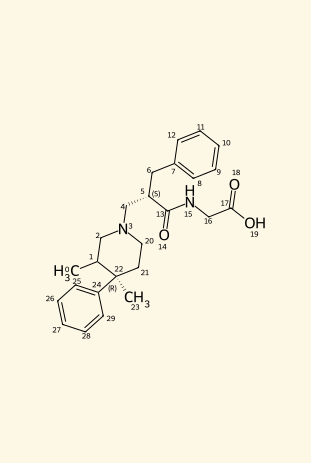 CC1CN(C[C@H](Cc2ccccc2)C(=O)NCC(=O)O)CC[C@@]1(C)c1ccccc1